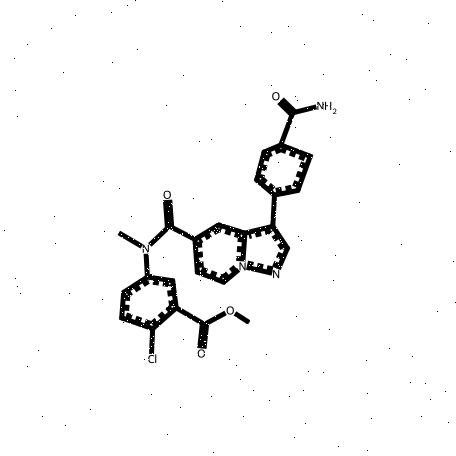 COC(=O)c1cc(N(C)C(=O)c2ccn3ncc(-c4ccc(C(N)=O)cc4)c3c2)ccc1Cl